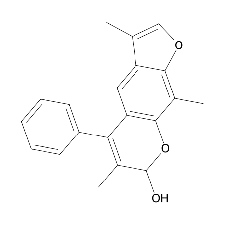 CC1=C(c2ccccc2)c2cc3c(C)coc3c(C)c2OC1O